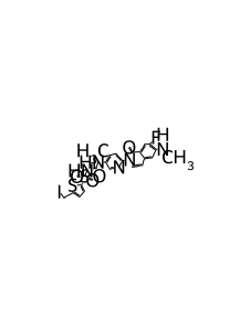 CNc1cc2ccn(-c3cc(C)c(NC(=O)NS(=O)(=O)c4ccc(CI)s4)cn3)c(=O)c2cc1F